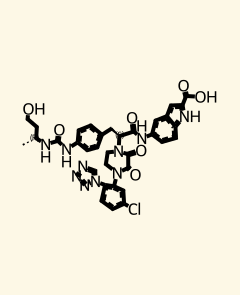 C[C@H](CCO)NC(=O)Nc1ccc(C[C@@H](C(=O)Nc2ccc3[nH]c(C(=O)O)cc3c2)N2CCN(c3cc(Cl)ccc3-n3cnnn3)C(=O)C2=O)cc1